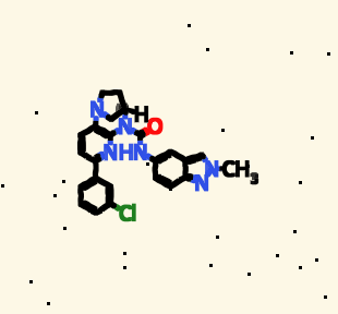 Cn1cc2cc(NC(=O)N3c4nc(-c5cccc(Cl)c5)ccc4N4CC[C@H]3C4)ccc2n1